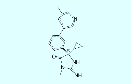 Cc1cncc(-c2cccc([C@@]3(C4CC4)NC(=N)N(C)C3=O)c2)c1